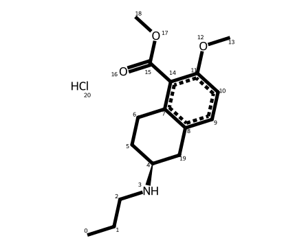 CCCN[C@H]1CCc2c(ccc(OC)c2C(=O)OC)C1.Cl